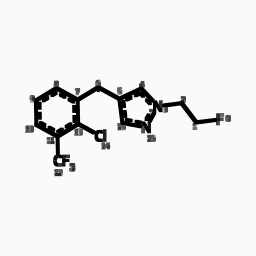 FCCn1cc([CH]c2cccc(C(F)(F)F)c2Cl)cn1